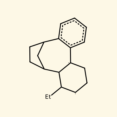 CCC1[CH]CC[C]2c3ccccc3C3CCC(C3)C21